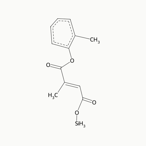 CC(=CC(=O)O[SiH3])C(=O)Oc1ccccc1C